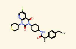 CC(C)Cc1ccc(C(C)C(=O)NC2CCC(n3c(=O)c4cc(F)cnc4n(C4CCSCC4)c3=O)CC2)cc1